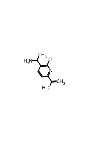 C=C(C)c1ccc(C(C)N)c(Cl)n1